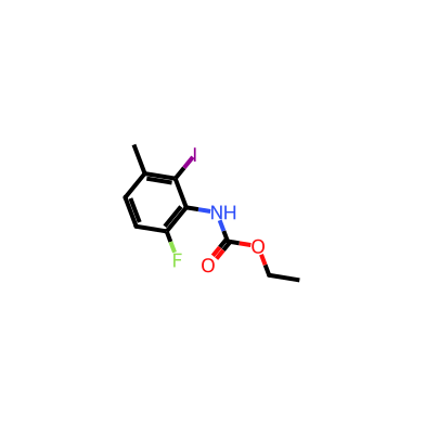 CCOC(=O)Nc1c(F)ccc(C)c1I